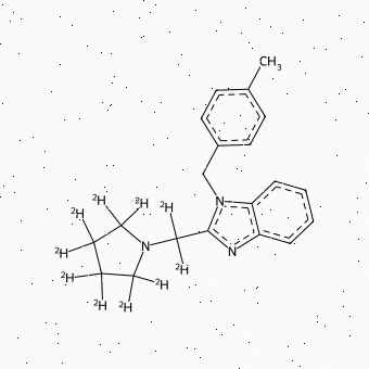 [2H]C([2H])(c1nc2ccccc2n1Cc1ccc(C)cc1)N1C([2H])([2H])C([2H])([2H])C([2H])([2H])C1([2H])[2H]